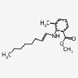 CCCCCCC=CNc1c(C)cccc1C(=O)OC